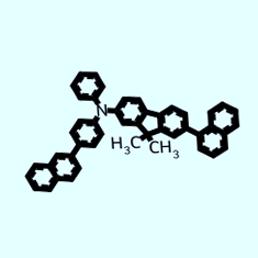 CC1(C)c2cc(-c3cccc4ccccc34)ccc2-c2ccc(N(c3ccccc3)c3ccc(-c4ccc5ccccc5c4)cc3)cc21